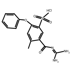 Cc1cc(Oc2ccccc2)c(S(C)(=O)=O)cc1C(=O)N=C(N)N.Cl